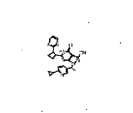 C[C@@H](c1ccc(C2CC2)nc1)n1nc(C#N)c2c(=O)[nH]c([C@H]3CC[C@H]3c3ncccn3)nc21